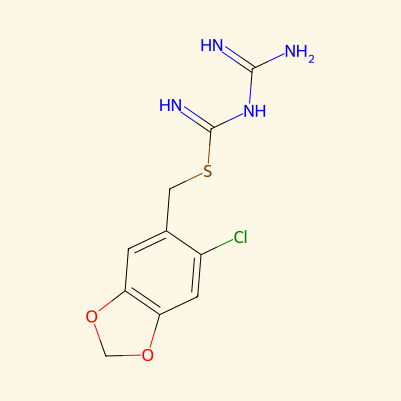 N=C(N)NC(=N)SCc1cc2c(cc1Cl)OCO2